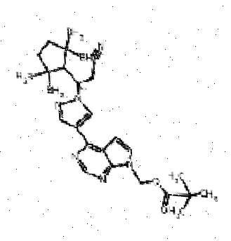 BC1(B)CCC(B)(B)C1[C@@H](CC#N)n1cc(-c2ncnc3c2ccn3COC(=O)C(C)(C)C)cn1